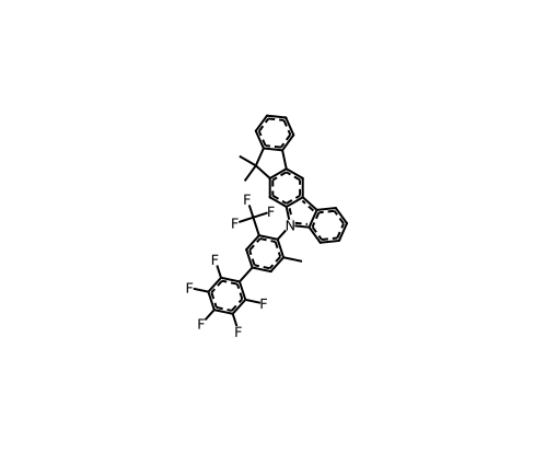 Cc1cc(-c2c(F)c(F)c(F)c(F)c2F)cc(C(F)(F)F)c1-n1c2ccccc2c2cc3c(cc21)C(C)(C)c1ccccc1-3